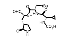 CC(C)(C)C[C@H](NC(=O)[C@@H](NC(=O)O)C1CC1)C(=O)N[C@H](C=O)C[C@@H]1CCNC1=O